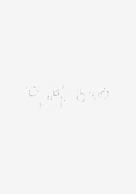 CN(CCc1ccncc1)c1c(NC(Cc2ccc(NC(=O)c3cccnc3)cc2)C(=O)O)c(=O)c1=O